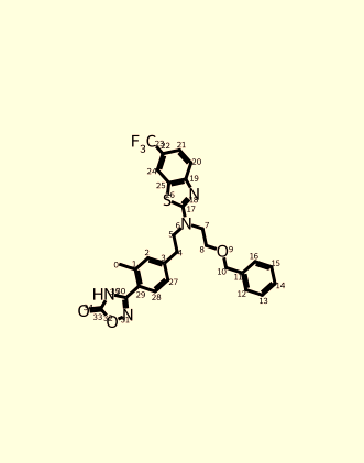 Cc1cc(CCN(CCOCc2ccccc2)c2nc3ccc(C(F)(F)F)cc3s2)ccc1-c1noc(=O)[nH]1